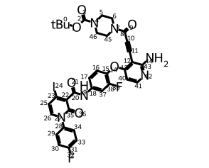 CC(C)(C)OC(=O)N1CCN(C(=O)C#Cc2c(Oc3ccc(NC(=O)c4c(I)ccn(-c5ccc(F)cc5)c4=O)cc3F)ccnc2N)CC1